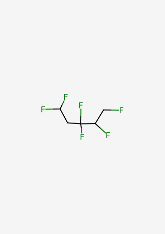 FCC(F)C(F)(F)CC(F)F